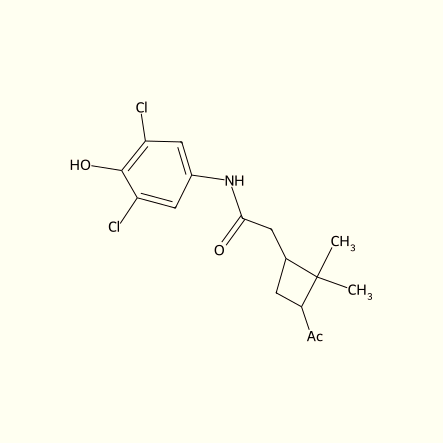 CC(=O)C1CC(CC(=O)Nc2cc(Cl)c(O)c(Cl)c2)C1(C)C